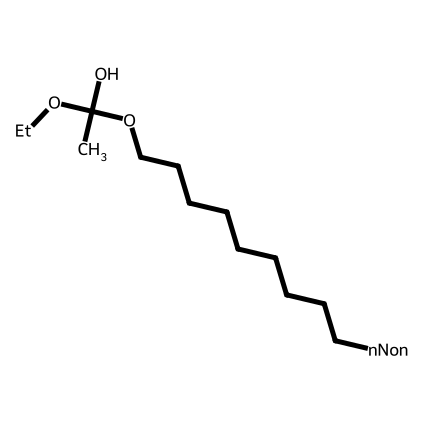 CCCCCCCCCCCCCCCCCCOC(C)(O)OCC